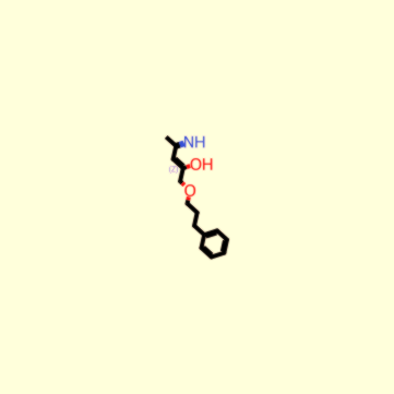 CC(=N)/C=C(\O)COCCCc1ccccc1